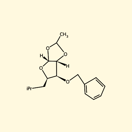 CC(C)C[C@H]1O[C@@H]2OC(C)O[C@@H]2[C@H]1OCc1ccccc1